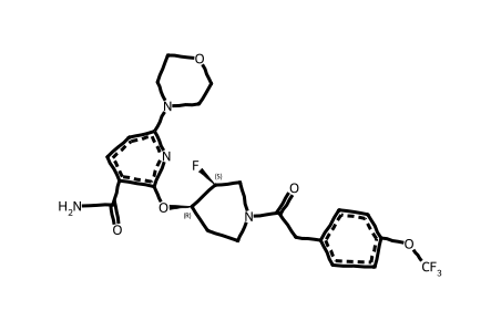 NC(=O)c1ccc(N2CCOCC2)nc1O[C@@H]1CCN(C(=O)Cc2ccc(OC(F)(F)F)cc2)C[C@@H]1F